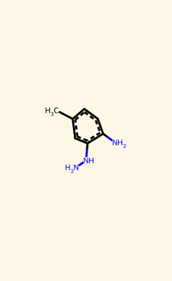 Cc1ccc(N)c(NN)c1